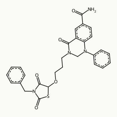 NC(=O)c1ccc2c(c1)C(=O)N(CCCOC1SC(=O)N(Cc3ccccc3)C1=O)CN2c1ccccc1